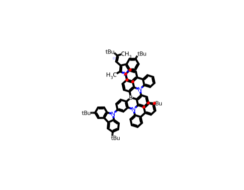 C/C(=C\c1c(C)n(-c2ccc3c(c2)N(c2ccccc2C2=CCCC=C2)c2cc(C(C)(C)C)cc4c2B3c2ccc(-n3c5ccc(C(C)(C)C)cc5c5cc(C(C)(C)C)ccc53)cc2N4c2ccccc2-c2ccccc2)c2ccc(C(C)(C)C)cc12)C(C)(C)C